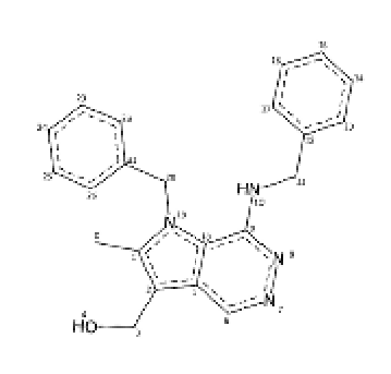 Cc1c(CO)c2cnnc(NCc3ccccc3)c2n1Cc1ccccc1